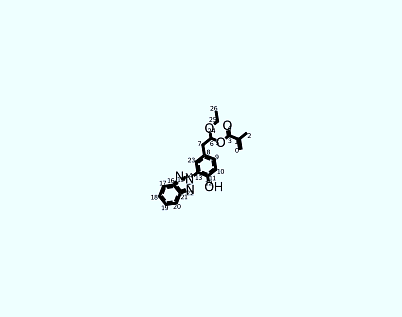 C=C(C)C(=O)OC(Cc1ccc(O)c(-n2nc3ccccc3n2)c1)OCC